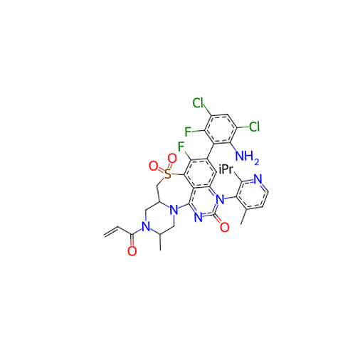 C=CC(=O)N1CC2CS(=O)(=O)c3c(F)c(-c4c(N)c(Cl)cc(Cl)c4F)cc4c3c(nc(=O)n4-c3c(C)ccnc3C(C)C)N2CC1C